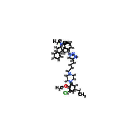 CCc1cc(Cl)c(OC)c(N2CCN(CCCCc3cn(CCC4(c5ccccc5)C(N(C)C)=Cc5ccccc54)nn3)CC2)c1